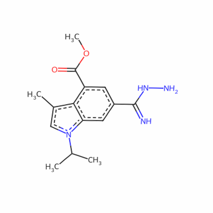 COC(=O)c1cc(C(=N)NN)cc2c1c(C)cn2C(C)C